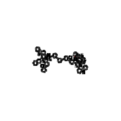 c1cc(-c2cccc(-c3nc(-c4ccc5c(c4)sc4ccccc45)nc(-c4ccc5c(oc6ccccc65)c4-n4c5ccccc5c5cc6ccccc6cc54)n3)c2)cc(-c2ccc3oc4c(-n5c6ccccc6c6cc7ccccc7cc65)c(-c5nc(-c6cccc7sc8ccccc8c67)nc(-c6cccc7sc8ccccc8c67)n5)ccc4c3c2)c1